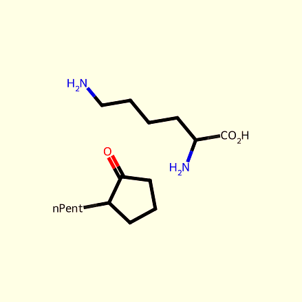 CCCCCC1CCCC1=O.NCCCCC(N)C(=O)O